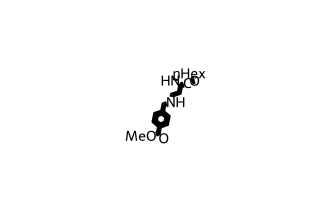 CCCCCCNC(=C=O)CCNCc1ccc(C(=O)OC)cc1